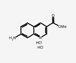 COC(=O)c1cnc2cc(N)ccc2c1.Cl.Cl